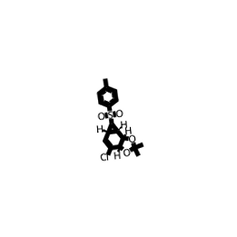 Cc1ccc(S(=O)(=O)C2[C@H]3[C@@H]4OC(C)(C)O[C@@H]4C(Cl)=C[C@H]23)cc1